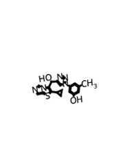 Cc1cc(O)cc(-n2cc(C(O)c3c(C4CC4)sc4cncn34)nn2)c1